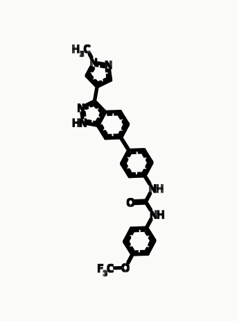 Cn1cc(-c2n[nH]c3cc(-c4ccc(NC(=O)Nc5ccc(OC(F)(F)F)cc5)cc4)ccc23)cn1